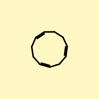 [C]1=CCC=CCCC=CCC1